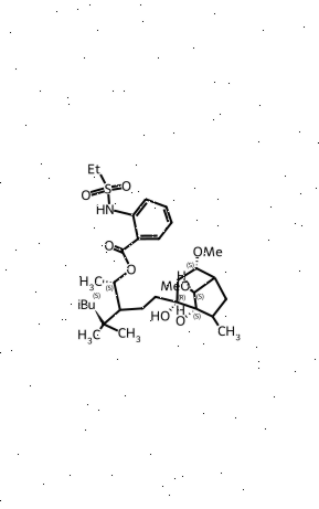 CC[C@H](C)C(C)(C)C(CC[C@@]1(O)C[C@H](OC)C2CC(C)[C@]1(O)[C@H]2OC)[C@H](C)OC(=O)c1ccccc1NS(=O)(=O)CC